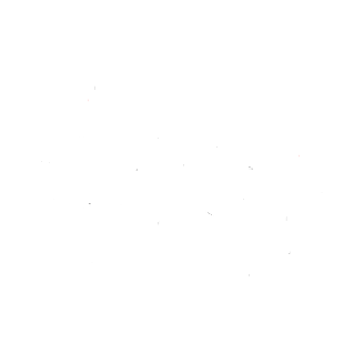 CC12CCCc3coc(c31)C(=O)c1cc3c(cc12)C(O)CCC3O